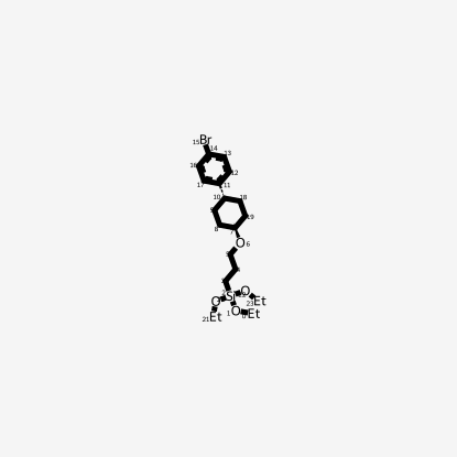 CCO[Si](CCCO[C@H]1CC[C@H](c2ccc(Br)cc2)CC1)(OCC)OCC